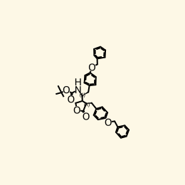 CC(C)(C)OC(=O)N[C@@H](Cc1ccc(OCc2ccccc2)cc1)C1COC(=O)[C@@H]1Cc1ccc(OCc2ccccc2)cc1